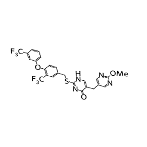 COc1ncc(Cc2c[nH]c(SCc3ccc(Oc4cccc(C(F)(F)F)c4)c(C(F)(F)F)c3)nc2=O)cn1